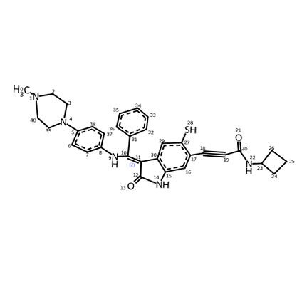 CN1CCN(c2ccc(N/C(=C3\C(=O)Nc4cc(C#CC(=O)NC5CCC5)c(S)cc43)c3ccccc3)cc2)CC1